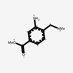 CNCc1ccc(C(=O)OC)cc1N